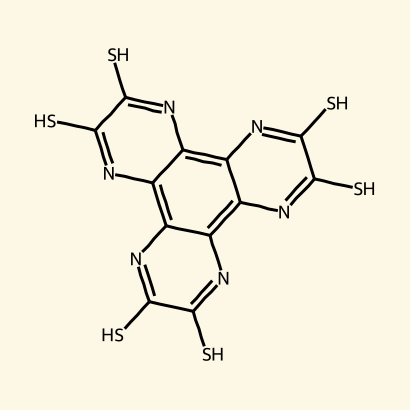 Sc1nc2c3nc(S)c(S)nc3c3nc(S)c(S)nc3c2nc1S